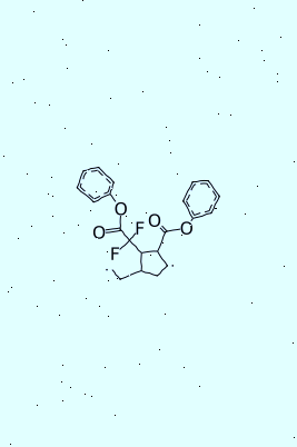 [CH2]CC1C[CH]C(C(=O)Oc2ccccc2)C1C(F)(F)C(=O)Oc1ccccc1